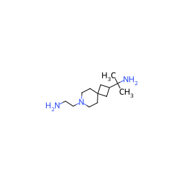 CC(C)(N)C1CC2(CCN(CCN)CC2)C1